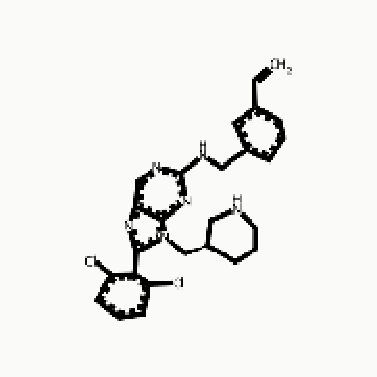 C=Cc1cccc(CNc2ncc3nc(-c4c(Cl)cccc4Cl)n(C[C@@H]4CCCNC4)c3n2)c1